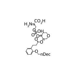 CCCCCCCCCCCOc1ccccc1CCC(=O)O[C@H]1COCC[C@@H]1OP(=O)(O)OC[C@H](N)C(=O)O